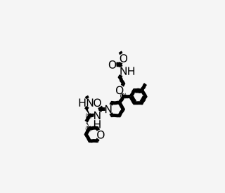 CNC[C@H](C[C@H]1CCCOC1)NC(=O)N1CCCC([C@@H](OCCNC(=O)OC)c2cccc(C)c2)C1